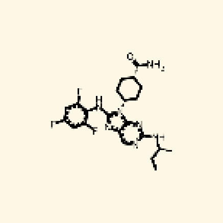 CC[C@H](C)Nc1ncc2nc(Nc3c(F)cc(F)cc3F)n([C@H]3CC[C@@H](C(N)=O)CC3)c2n1